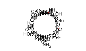 CCCC[C@H]1C(=O)N2C[C@H](O)C[C@@H]2C(=O)N2C[C@H](N)C[C@H]2C(=O)N[C@@H](C(C)C)C(=O)N(C)[C@@H](Cc2ccccc2)C(=O)N[C@@H](Cc2ccc(O)cc2)C(=O)N2CCCC[C@@H]2C(=O)N[C@@H](Cc2c[nH]c3ccccc23)C(=O)N[C@@H](Cc2ccc(O)cc2)C(=O)N[C@@H](CC(C)C)C(=O)N[C@H](C(=O)NCC(N)=O)CSCC(=O)N[C@@H](Cc2cc(F)c(F)c(F)c2)C(=O)N(C)[C@@H](Cc2ccccc2)C(=O)N1C